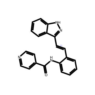 O=C(Nc1ccccc1/C=C/c1n[nH]c2ccccc12)c1ccncc1